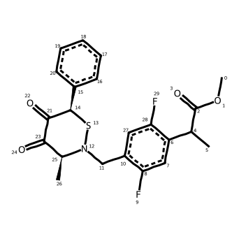 COC(=O)C(C)c1cc(F)c(CN2S[C@H](c3ccccc3)C(=O)C(=O)[C@@H]2C)cc1F